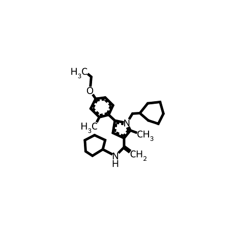 C=C(NC1CCCCC1)c1cc(-c2ccc(OCC)cc2C)n(CC2CCCCC2)c1C